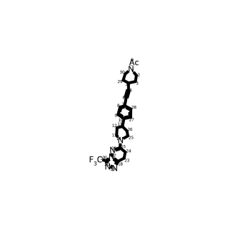 CC(=O)N1CCC(C#Cc2ccc(C3CCN(C4=Nn5c(nnc5C(F)(F)F)CC4)CC3)cc2)CC1